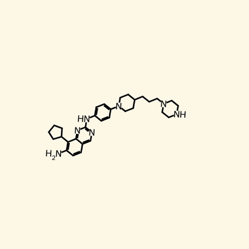 Nc1ccc2cnc(Nc3ccc(N4CCC(CCCN5CCNCC5)CC4)cc3)nc2c1C1CCCC1